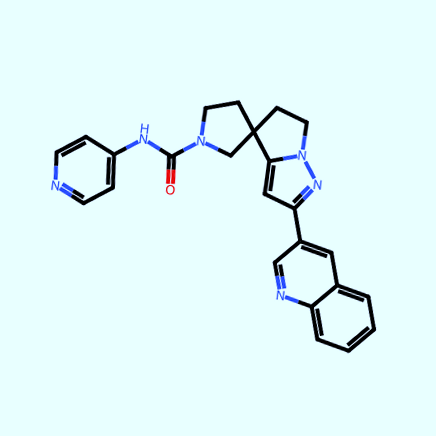 O=C(Nc1ccncc1)N1CCC2(CCn3nc(-c4cnc5ccccc5c4)cc32)C1